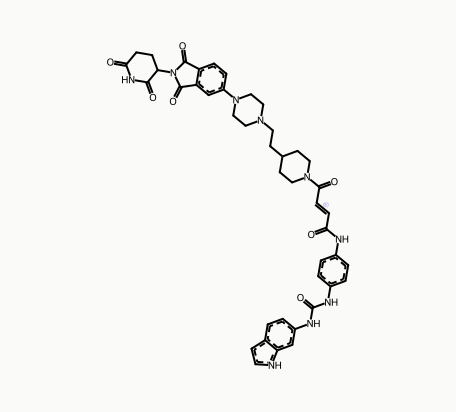 O=C(/C=C/C(=O)N1CCC(CCN2CCN(c3ccc4c(c3)C(=O)N(C3CCC(=O)NC3=O)C4=O)CC2)CC1)Nc1ccc(NC(=O)Nc2ccc3cc[nH]c3c2)cc1